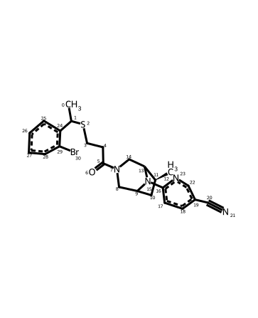 CC(SCCC(=O)N1CC2C[C@H](C)C(C1)N2c1ccc(C#N)cn1)c1ccccc1Br